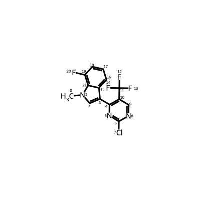 Cn1cc(-c2nc(Cl)ncc2C(F)(F)F)c2cccc(F)c21